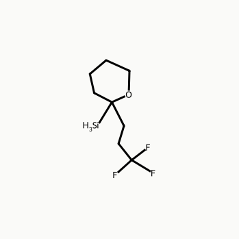 FC(F)(F)CCC1([SiH3])CCCCO1